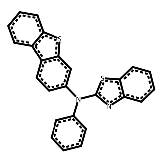 c1ccc(N(c2ccc3c(c2)sc2ccccc23)c2nc3ccccc3s2)cc1